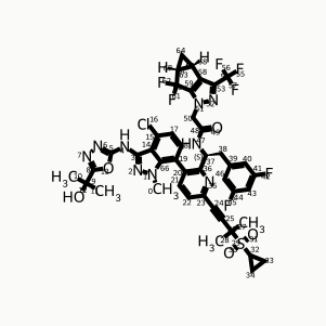 Cn1nc(Nc2nnc(C(C)(C)O)o2)c2c(Cl)ccc(-c3ccc(C#CC(C)(C)S(=O)(=O)C4CC4)nc3[C@H](Cc3cc(F)cc(F)c3)NC(=O)Cn3nc(C(F)(F)F)c4c3C(F)(F)[C@@H]3C[C@H]43)c21